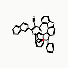 N#Cc1c(-c2ccc3ccccc3c2)nc(-c2ccccc2)nc1-c1cccc2sc3ccc4c(c5ccccc5n4-c4ccccc4)c3c12